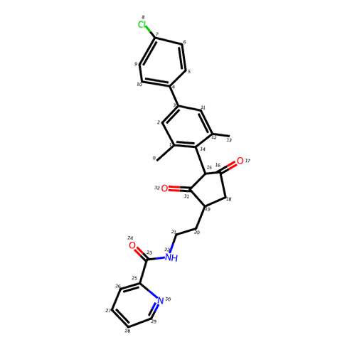 Cc1cc(-c2ccc(Cl)cc2)cc(C)c1C1C(=O)CC(CCNC(=O)c2ccccn2)C1=O